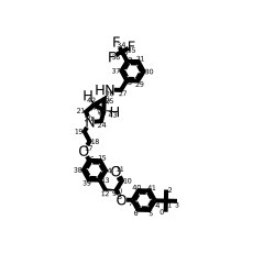 CC(C)(C)c1ccc(O[C@H](C=O)Cc2ccc(OCCN3C[C@@H]4[C@H](C3)[C@H]4NCc3cccc(C(F)(F)F)c3)cc2)cc1